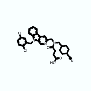 N#CC1CCC(CN(Cc2cc3c4ccccc4n(Cc4cc(Cl)ccc4Cl)c3cn2)C(=O)CCC(=O)O)CC1